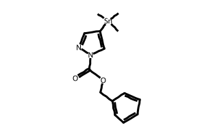 [CH3][Sn]([CH3])([CH3])[c]1cnn(C(=O)OCc2ccccc2)c1